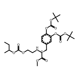 CCC(C)OC(=O)OCCN[C@@H](Cc1ccc(OC(=O)OC(C)(C)C)c(OC(=O)OC(C)(C)C)c1)C(=O)OC